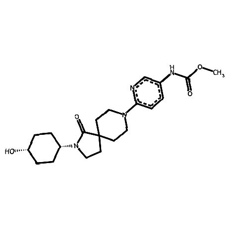 COC(=O)Nc1ccc(N2CCC3(CC2)CCN([C@H]2CC[C@@H](O)CC2)C3=O)nc1